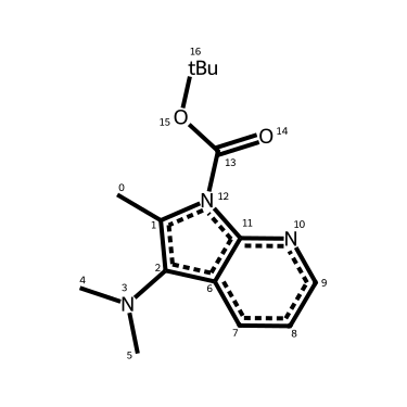 Cc1c(N(C)C)c2cccnc2n1C(=O)OC(C)(C)C